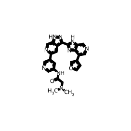 CN(C)CC(=O)Nc1cncc(-c2cc3c(-c4nc5c(-c6ccoc6)cncc5[nH]4)n[nH]c3cn2)c1